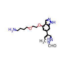 C/C=C(\C=N/NC=O)c1cc(OCCOCCCCN)c2cn[nH]c2c1